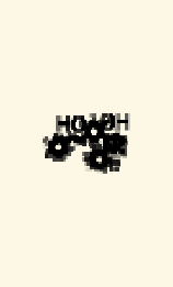 Oc1cc(O)c(-c2ccnn2-c2ccccc2F)cc1C=Cc1ccccc1